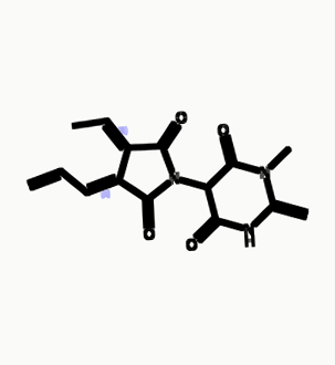 C=C/C=C1/C(=O)N(C2C(=O)NC(=C)N(C)C2=O)C(=O)/C1=C/C